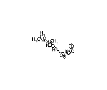 Cc1c(OCC(=O)NC(C)C)ncc2c1CC(CNCCC1CN(c3ccc4c(n3)NC(=O)CO4)C(=O)O1)C2